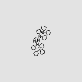 c1ccc([Si]2(c3ccccc3)c3ccccc3N(c3ccnc(N4c5ccccc5[Si](c5ccccc5)(c5ccccc5)c5ccccc54)n3)c3ccccc32)cc1